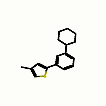 Cc1csc(-c2cccc(C3CCCCC3)c2)c1